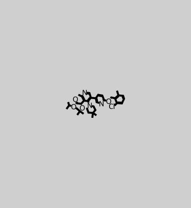 Cc1cccc(Cl)c1COc1ccc(-c2cnc(C)c([C@H](OC(C)(C)C)C(=O)OC(C)C)c2N2CCC(C)(C)CC2)cn1